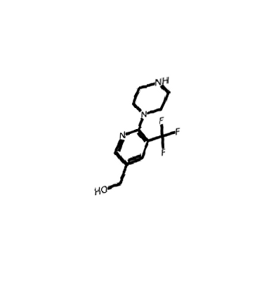 OCc1cnc(N2CCNCC2)c(C(F)(F)F)c1